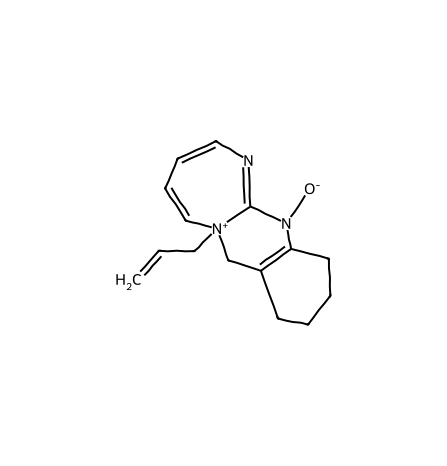 C=CC[N+]12C=CC=CN=C1N([O-])C1=C(CCCC1)C2